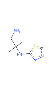 CC(C)(CN)Nc1nccs1